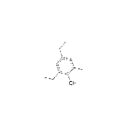 CCc1cc(C)c(O)c(CC)c1